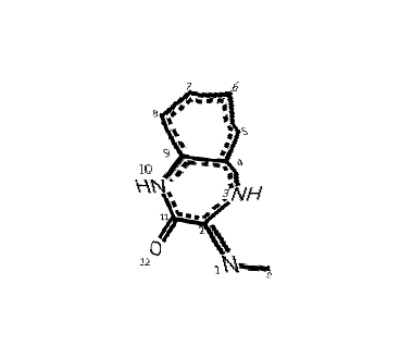 C/N=c1\[nH]c2ccccc2[nH]c1=O